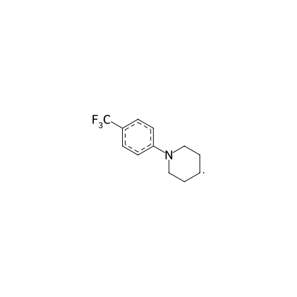 FC(F)(F)c1ccc(N2CC[CH]CC2)cc1